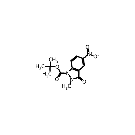 Cn1c(=O)c2cc([N+](=O)[O-])ccc2n1C(=O)OC(C)(C)C